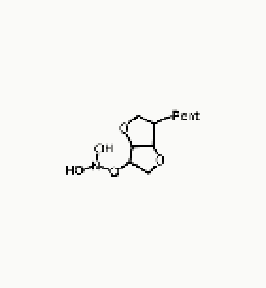 CCCC(C)C1COC2C(ON(O)O)COC12